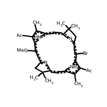 COc1c2nc(cc3[nH]c(c(Br)c4nc(cc5[nH]c1c(C(C)=O)c5C)C(C)(C)C4)c(C(C)=O)c3C)C(C)(C)C2